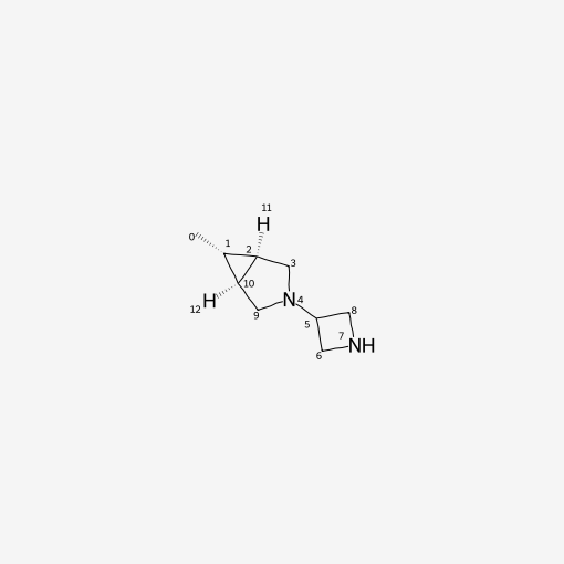 C[C@@H]1[C@H]2CN(C3CNC3)C[C@@H]12